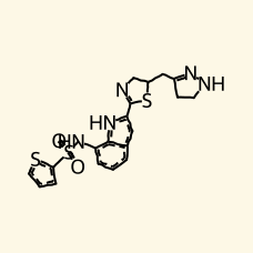 O=S(=O)(Nc1cccc2cc(C3=NCC(CC4=NNCC4)S3)[nH]c12)c1cccs1